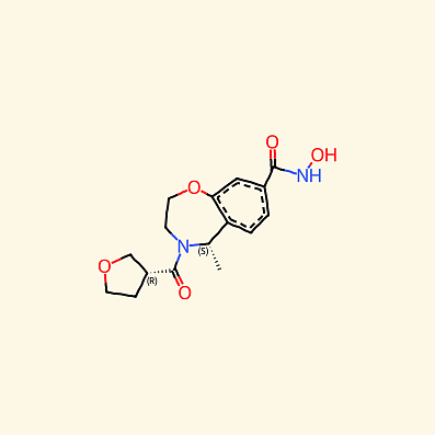 C[C@H]1c2ccc(C(=O)NO)cc2OCCN1C(=O)[C@@H]1CCOC1